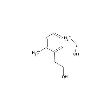 CCO.Cc1ccccc1CCO